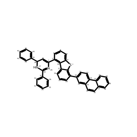 C1=C(c2cccc3sc4c(-c5ccc6c(ccc7ccccc76)c5)cccc4c23)N=C(c2ccccc2)NC1c1ccccc1